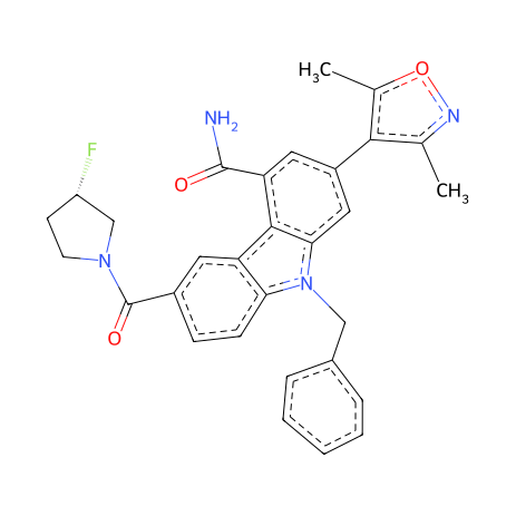 Cc1noc(C)c1-c1cc(C(N)=O)c2c3cc(C(=O)N4CC[C@H](F)C4)ccc3n(Cc3ccccc3)c2c1